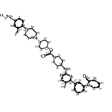 Nc1ccc(N2CCN([C@H]3CC[C@H](OC(=O)N4CCC(Nc5ncc(F)c(-c6cccc(-n7ccccc7=O)c6)n5)CC4)CC3)CC2)c(F)c1